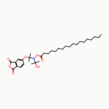 CCCCCCCCCCCCCCCCCC(=O)ON(C(C)(C)O)C(C)(C)Oc1ccc2c(c1)C(=O)OC2=O